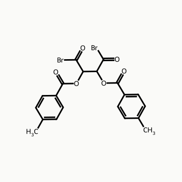 Cc1ccc(C(=O)OC(C(=O)Br)C(OC(=O)c2ccc(C)cc2)C(=O)Br)cc1